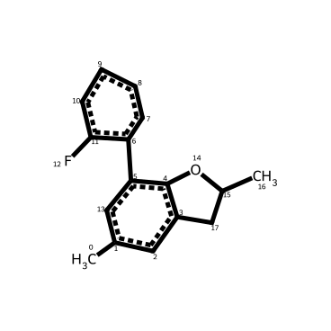 Cc1cc2c(c(-c3ccccc3F)c1)OC(C)C2